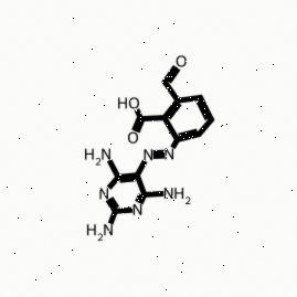 Nc1nc(N)c(N=Nc2cccc(C=O)c2C(=O)O)c(N)n1